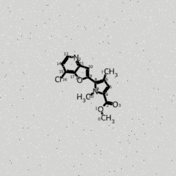 COC(=O)c1cc(C)c(-c2cc3nccc(Cl)c3o2)n1C